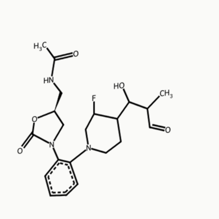 CC(=O)NC[C@H]1CN(c2ccccc2N2CCC(C(O)C(C)C=O)C(F)C2)C(=O)O1